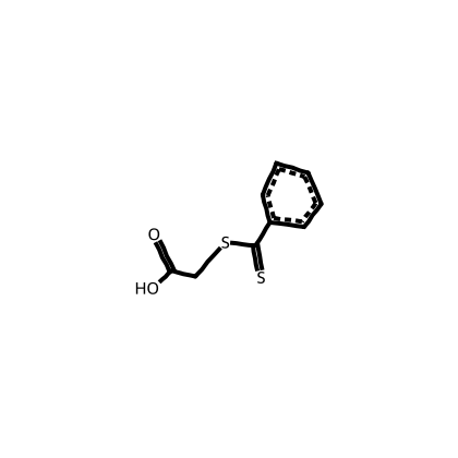 O=C(O)CSC(=S)c1ccccc1